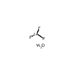 O.[F][La]([F])[F]